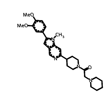 COc1ccc(-c2cc3cnc(C4CCN(C(=O)CN5CCCCC5)CC4)cc3n2C)cc1OC